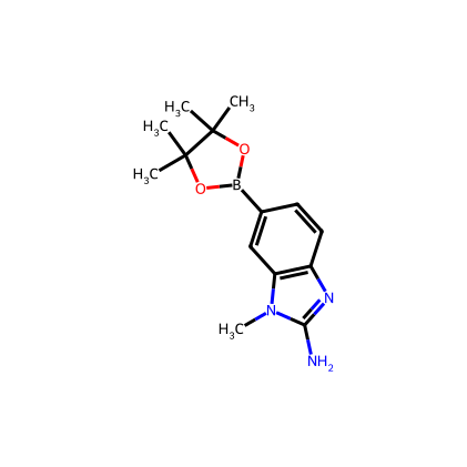 Cn1c(N)nc2ccc(B3OC(C)(C)C(C)(C)O3)cc21